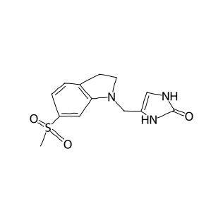 CS(=O)(=O)c1ccc2c(c1)N(Cc1c[nH]c(=O)[nH]1)CC2